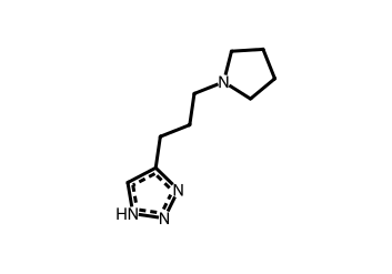 c1[nH]nnc1CCCN1CCCC1